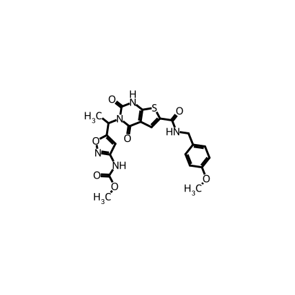 COC(=O)Nc1cc(C(C)n2c(=O)[nH]c3sc(C(=O)NCc4ccc(OC)cc4)cc3c2=O)on1